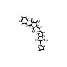 Cn1c(-c2ccco2)nc2oc(C=C3C(=O)c4cc5ccccc5cc4C3=O)cc21